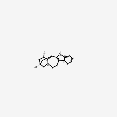 CCC1C[C@H]2CC3C4=C(CCN(C2)C13)C1CC=CC=C1N4